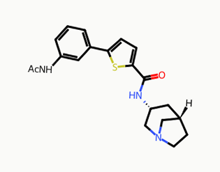 CC(=O)Nc1cccc(-c2ccc(C(=O)N[C@@H]3C[C@@H]4CCN(C4)C3)s2)c1